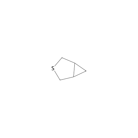 C1SCC2CC12